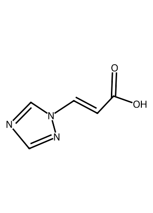 O=C(O)/C=C/n1cncn1